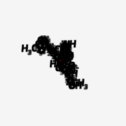 CC(C)c1ccccc1[C@@H]1COCCCN1C1CC2(CCN(c3ccc(C(=O)NS(=O)(=O)c4ccc(NC[C@H]5CC[C@](C)(O)CC5)c([N+](=O)[O-])c4)c(N4c5cc6cc[nH]c6nc5O[C@H]5COCC[C@@H]54)c3)[C@H](C)C2)C1